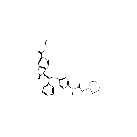 CCOC(=O)c1ccc2c(c1)NC(=O)C2=C(Nc1ccc(N(C)C(=O)CN2CCNCC2)cc1)c1ccccc1